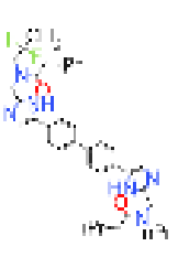 CCCN(Cc1ncc(-c2ccc(-c3ccc(-c4cnc(CN(CC(C)(F)F)C(=O)CC(C)C)[nH]4)cc3)cc2)[nH]1)C(=O)CC(C)C